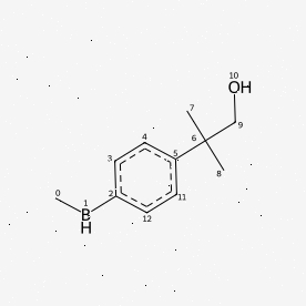 CBc1ccc(C(C)(C)CO)cc1